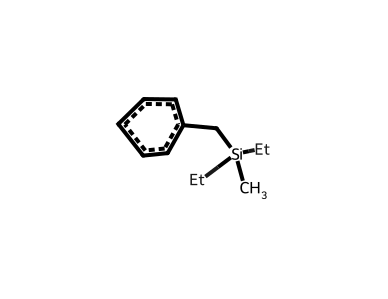 CC[Si](C)(CC)Cc1ccccc1